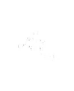 CCOC(=O)Cn1cnc2c(Cl)nc(N)nc21